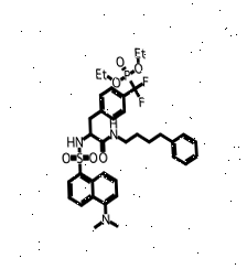 CCOP(=O)(OCC)C(F)(F)c1ccc(CC(NS(=O)(=O)c2cccc3c(N(C)C)cccc23)C(=O)NCCCCc2ccccc2)cc1